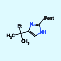 CCCC(C)c1nc(C(C)(C)CC)c[nH]1